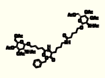 CC(=O)N[C@H]1[C@H](OCCCCC(=O)NCCCC[C@H](NC(=O)CCCCO[C@@H]2O[C@H](COC(C)=O)[C@H](OC(C)=O)[C@H](OC(C)=O)[C@H]2NC(C)=O)C(=O)OCc2ccccc2)O[C@H](COC(C)=O)[C@H](OC(C)=O)[C@@H]1OC(C)=O